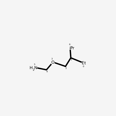 CCC(COCN)C(C)C